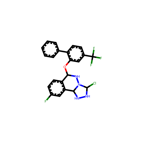 Fc1ccc2c(c1)C1NNC(Cl)N1NC2Oc1cc(C(F)(F)F)ccc1-c1ccccc1